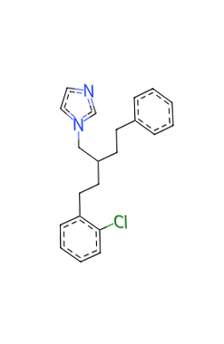 Clc1ccccc1CCC(CCc1ccccc1)Cn1ccnc1